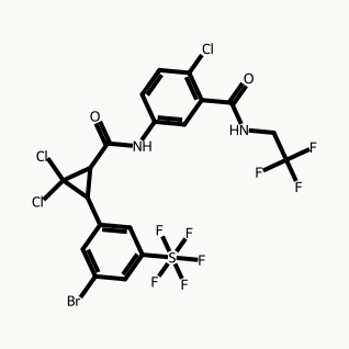 O=C(NCC(F)(F)F)c1cc(NC(=O)C2C(c3cc(Br)cc(S(F)(F)(F)(F)F)c3)C2(Cl)Cl)ccc1Cl